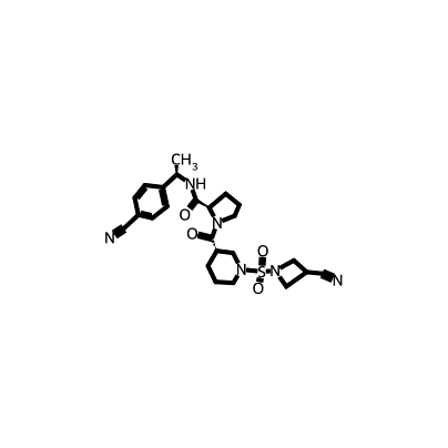 C[C@@H](NC(=O)[C@H]1CCCN1C(=O)[C@H]1CCCN(S(=O)(=O)N2CC(C#N)C2)C1)c1ccc(C#N)cc1